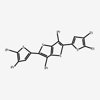 CCc1cc(-c2sc3c(C(C)C)c(-c4cc(C(C)C)c(C(C)C)s4)sc3c2C(C)C)sc1CC